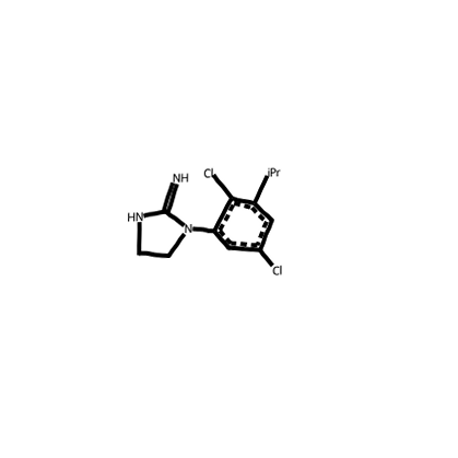 CC(C)c1cc(Cl)cc(N2CCNC2=N)c1Cl